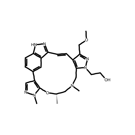 COCc1nn(CCO)c2c1/C=C/c1n[nH]c3ccc(cc13)-c1cnn(C)c1O[C@@H](C)CN(C)C2